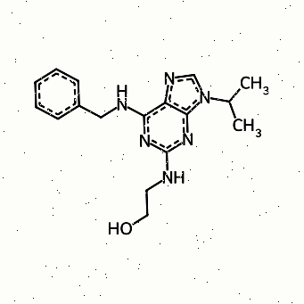 CC(C)n1cnc2c(NCc3ccccc3)nc(NCCO)nc21